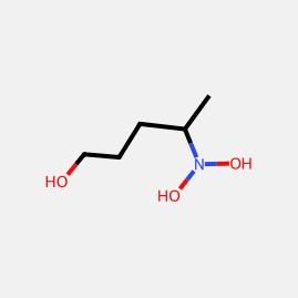 CC(CCCO)N(O)O